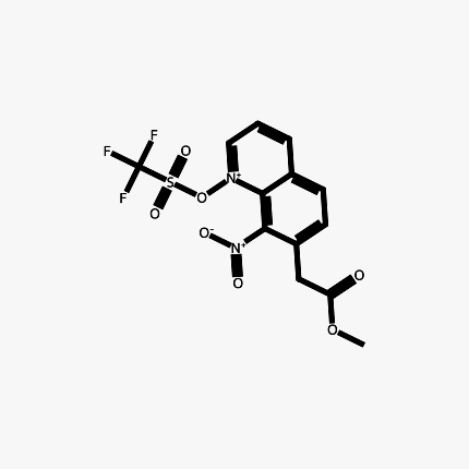 COC(=O)Cc1ccc2ccc[n+](OS(=O)(=O)C(F)(F)F)c2c1[N+](=O)[O-]